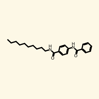 CCCCCCCCCCNC(=O)c1ccc(NC(=O)c2ccccc2)cc1